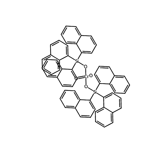 [O]=[Cr](=[O])([O][Si](c1cccc2ccccc12)(c1cccc2ccccc12)c1cccc2ccccc12)[O][Si](c1cccc2ccccc12)(c1cccc2ccccc12)c1cccc2ccccc12